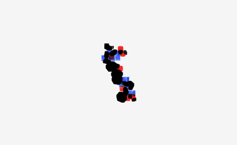 CC[C@H](C)N(Cc1ncc(-c2ccc3c(c2)COc2cc4c(ccc5nc([C@@H]6CCCN6C(=O)[C@H](NC(=O)OC)c6ccccc6)[nH]c54)cc2-3)[nH]1)C(=O)CNC(=O)OC